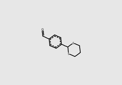 O=Cc1ccc(C2SCCCS2)cc1